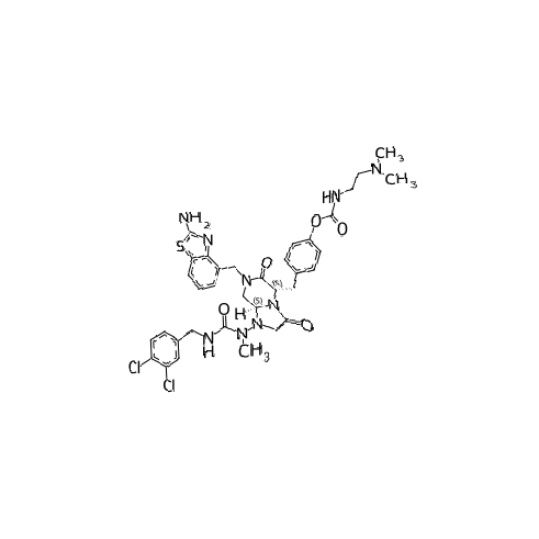 CN(C)CCNC(=O)Oc1ccc(C[C@H]2C(=O)N(Cc3cccc4sc(N)nc34)C[C@H]3N2C(=O)CN3N(C)C(=O)NCc2ccc(Cl)c(Cl)c2)cc1